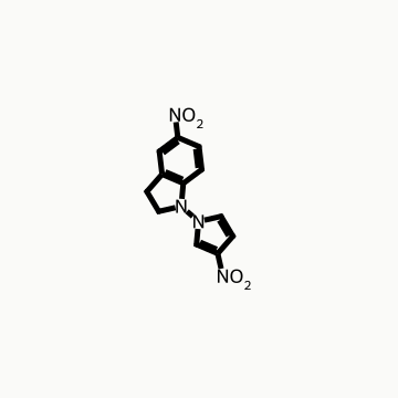 O=[N+]([O-])c1ccc2c(c1)CCN2n1ccc([N+](=O)[O-])c1